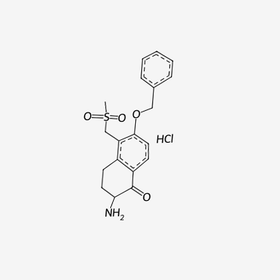 CS(=O)(=O)Cc1c(OCc2ccccc2)ccc2c1CCC(N)C2=O.Cl